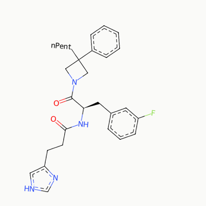 CCCCCC1(c2ccccc2)CN(C(=O)[C@@H](Cc2cccc(F)c2)NC(=O)CCc2c[nH]cn2)C1